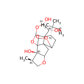 C[C@@H]1COC2CC34C5C[C@@H](C(C)(C)C)C36C(O[C@H](O)[C@@H]6O)OC4(C(=O)O5)[C@]21O